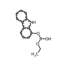 CCOB(O)Oc1cccc2c1[nH]c1ccccc12